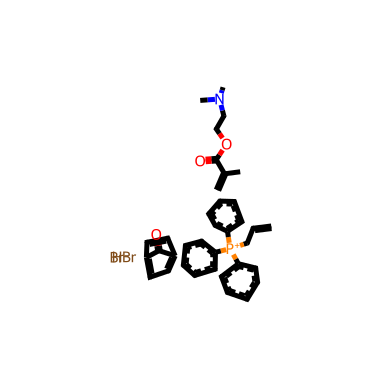 Br.C=C(C)C(=O)OCCN(C)C.C=CC[P+](c1ccccc1)(c1ccccc1)c1ccccc1.O=C1C2=CC=C1C=C2.[Br-]